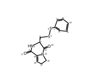 O=C1N[C@@H](CSSc2ccccc2)C(=O)N2CCC=C12